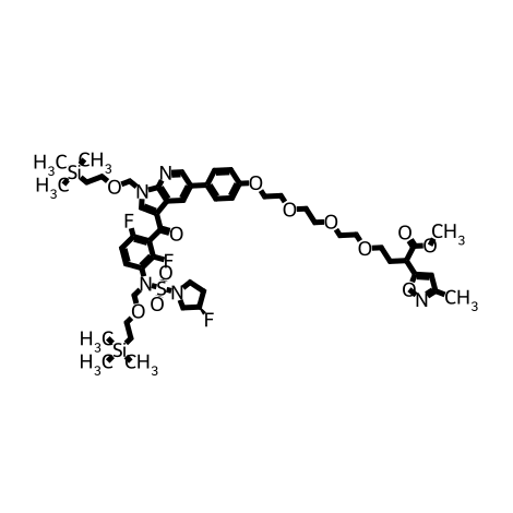 COC(=O)C(CCOCCOCCOCCOc1ccc(-c2cnc3c(c2)c(C(=O)c2c(F)ccc(N(COCC[Si](C)(C)C)S(=O)(=O)N4CC[C@@H](F)C4)c2F)cn3COCC[Si](C)(C)C)cc1)c1cc(C)no1